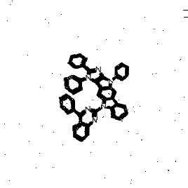 c1ccc(-c2nc(-n3c4ccccc4c4cc5c(cc43)c3c(nc(-c4ccccc4)n3-c3ccccc3)n5-c3ccccc3)nc3ccccc23)cc1